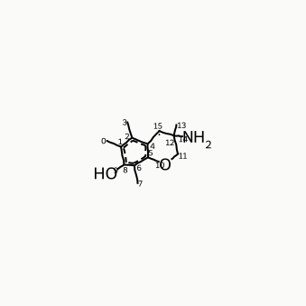 Cc1c(C)c2c(c(C)c1O)OCC(C)(N)[CH]2